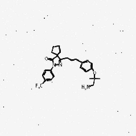 CC(C)(CN)Oc1ccc(CCCC2=NN(c3ccc(C(F)(F)F)cc3)C(=O)C23CCCC3)cc1